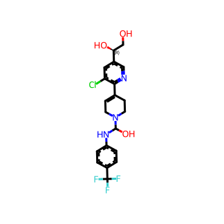 OC[C@H](O)c1cnc(C2=CCN(C(O)Nc3ccc(C(F)(F)F)cc3)CC2)c(Cl)c1